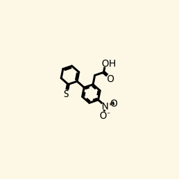 O=C(O)Cc1cc([N+](=O)[O-])ccc1C1=CC=CCC1=S